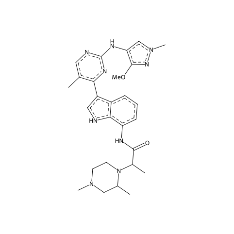 COc1nn(C)cc1Nc1ncc(C)c(-c2c[nH]c3c(NC(=O)C(C)N4CCN(C)CC4C)cccc23)n1